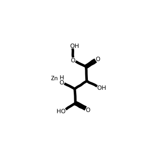 O=C(O)C(O)C(O)C(=O)OO.[Zn]